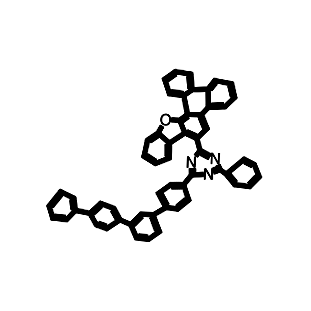 c1ccc(-c2ccc(-c3cccc(-c4ccc(-c5nc(-c6ccccc6)nc(-c6cc7c8ccccc8c8ccccc8c7c7oc8ccccc8c67)n5)cc4)c3)cc2)cc1